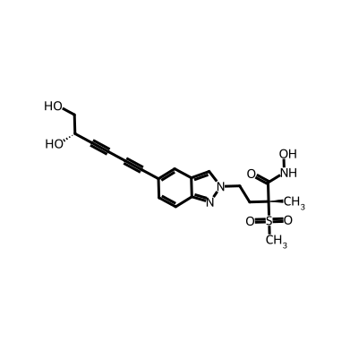 C[C@@](CCn1cc2cc(C#CC#C[C@H](O)CO)ccc2n1)(C(=O)NO)S(C)(=O)=O